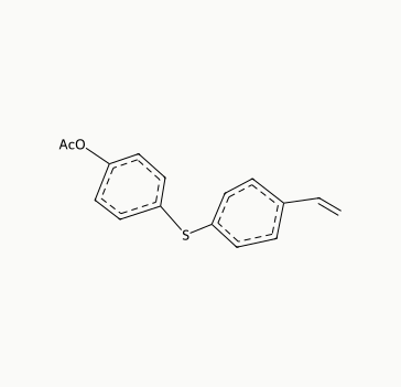 C=Cc1ccc(Sc2ccc(OC(C)=O)cc2)cc1